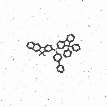 CC1(C)c2cc(N(c3ccc(-c4ccccc4)cc3)c3ccc4c(c3)C(c3ccccc3)(c3ccccc3)c3ccccc3-4)ccc2-c2cc3ccccc3cc21